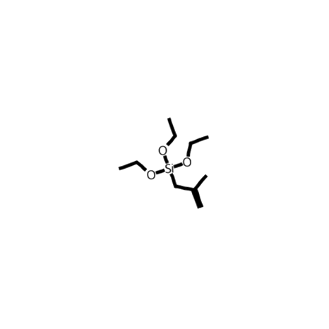 C=C(C)C[Si](OCC)(OCC)OCC